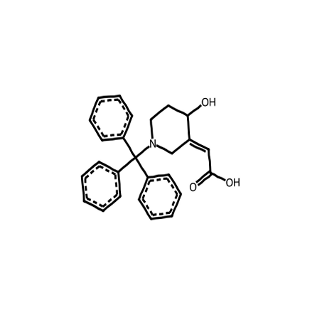 O=C(O)C=C1CN(C(c2ccccc2)(c2ccccc2)c2ccccc2)CCC1O